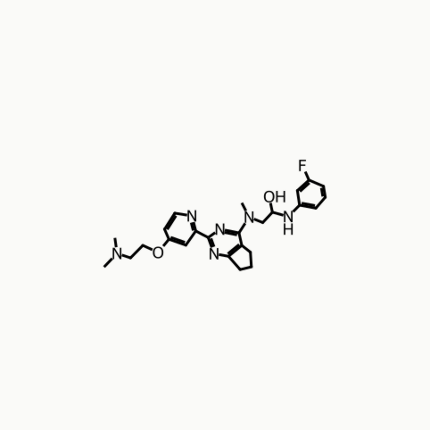 CN(C)CCOc1ccnc(-c2nc3c(c(N(C)CC(O)Nc4cccc(F)c4)n2)CCC3)c1